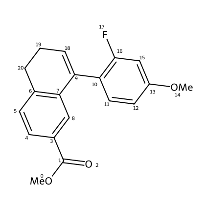 COC(=O)c1ccc2c(c1)C(c1ccc(OC)cc1F)=CCC2